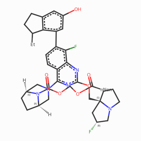 CCCCCCCCCC(=O)OCOC(=O)N1[C@@H]2CC[C@H]1CN(c1nc(OC[C@@]34CCCN3C[C@H](F)C4)nc3c(F)c(-c4cc(O)cc5c4C(CC)CC5)ccc13)C2